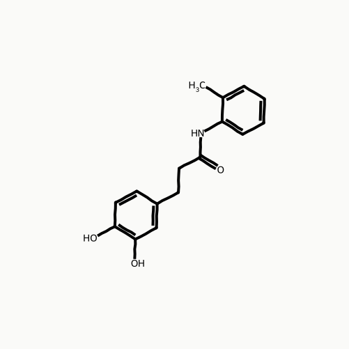 Cc1ccccc1NC(=O)CCc1ccc(O)c(O)c1